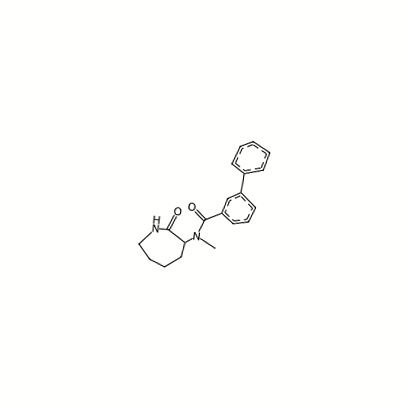 CN(C(=O)c1cccc(-c2ccccc2)c1)C1CCCCNC1=O